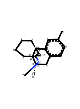 Cc1ccc2c(c1)[C@@]13CCCC[C@H]1[C@H](C2)N(C)CC3